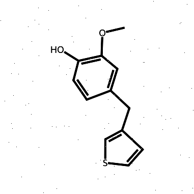 COc1cc(Cc2ccsc2)ccc1O